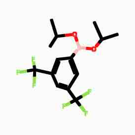 CC(C)OB(OC(C)C)c1cc(C(F)(F)F)cc(C(F)(F)F)c1